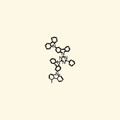 CC1C=CC=C2C1C1C=CC=CC1(C)N2c1ccc2c(c1)c1ccccc1n2-c1nc(-c2ccccc2)nc(-n2c3ccccc3c3cc(-n4c5ccccc5c5ccccc54)ccc32)n1